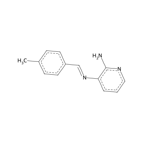 Cc1ccc(C=Nc2cccnc2N)cc1